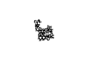 CN(C)C(=O)c1cc2n(n1)CCCN(c1nc(OC[C@@]34CCCN3C[C@H](F)C4)nc3c1COC1(CCCc4ccc(NC(=O)OC(C)(C)C)c(F)c41)C3)C2